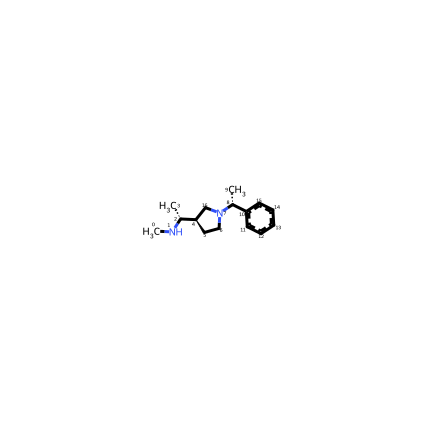 CN[C@H](C)[C@@H]1CCN([C@H](C)c2ccccc2)C1